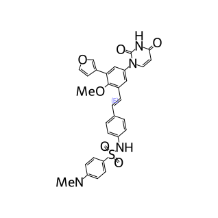 CNc1ccc(S(=O)(=O)Nc2ccc(/C=C/c3cc(-n4ccc(=O)[nH]c4=O)cc(-c4ccoc4)c3OC)cc2)cc1